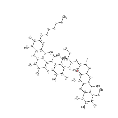 C[C@H](OC1OC(CO)C(OC2OC(CO)C(O)C(O)C2O)C(O)C1O)C(OC(OC1C(CO)OC(OC2C(CO)OC(OC3C(CO)OC(OCCCCCN)C(O)C3O)C(O)C2O)C(O)C1O)[C@@H](O)CO)C(=O)O